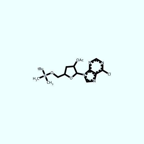 CC(=O)OC1CC(CO[Si](C)(C)C(C)(C)C)OC1n1cnc2c(Cl)ncnc21